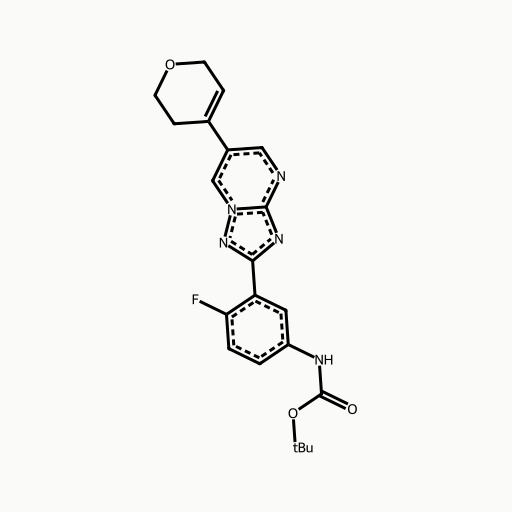 CC(C)(C)OC(=O)Nc1ccc(F)c(-c2nc3ncc(C4=CCOCC4)cn3n2)c1